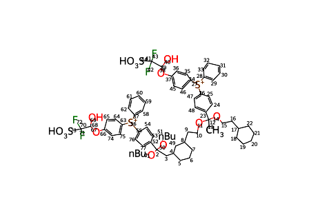 CCCCOC(CC1CCCC(CCOC(C)(OCCC2CCCCC2)c2ccc([S+](c3ccccc3)c3ccc(OC(O)C(F)(F)S(=O)(=O)O)cc3)cc2)C1)(OCCCC)c1ccc([S+](c2ccccc2)c2ccc(OC(O)C(F)(F)S(=O)(=O)O)cc2)cc1